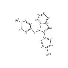 CC(C)c1ccc(Cn2c(-c3ccc(C(C)C)cc3)nc3ccccc32)cc1